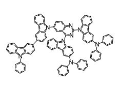 c1ccc(N(c2ccccc2)c2ccc3c(c2)c2ccccc2n3-c2nc(-n3c4ccccc4c4cc(N(c5ccccc5)c5ccccc5)ccc43)c3cc(-n4c5ccccc5c5cc(-c6ccc7c(c6)c6ccccc6n7-c6ccccc6)ccc54)ccc3n2)cc1